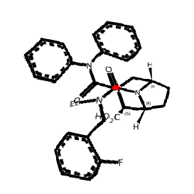 CCN(Cc1ccccc1F)C(=O)N1[C@H]2CC[C@@H]1[C@@H](C(=O)O)N(C(=O)N(c1ccccc1)c1ccccc1)C2